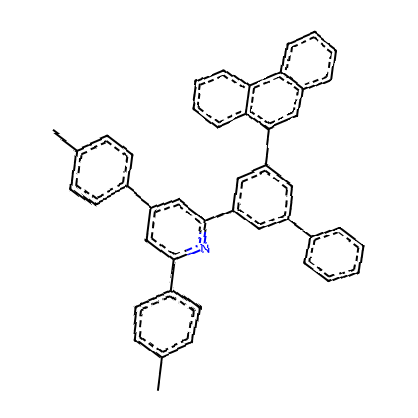 Cc1ccc(-c2cc(-c3ccc(C)cc3)nc(-c3cc(-c4ccccc4)cc(-c4cc5ccccc5c5ccccc45)c3)c2)cc1